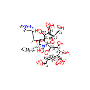 NCCCC[C@@H]([C]=O)N(O)C1(C2O[C@H](CO)[C@@H](O)[C@H](O)[C@H]2O)O[C@H](CO)[C@H](O)[C@H](O)[C@H]1O